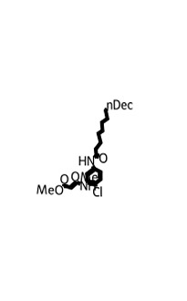 CCCCCCCCCCCCCCCCCC(=O)Nc1ccc(Cl)c(N/C(=C/C(=O)OC)OC)c1